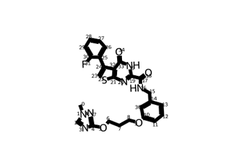 Cn1cnc(OCCCOc2cccc(CNC(=O)c3nc4scc(-c5ccccc5F)c4c(=O)[nH]3)c2)n1